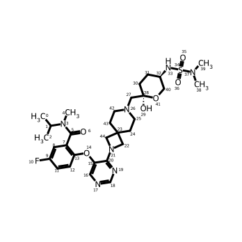 CC(C)N(C)C(=O)c1cc(F)ccc1Oc1cncnc1N1CC2(CCN(C[C@@]3(O)CC[C@@H](NS(=O)(=O)N(C)C)CO3)CC2)C1